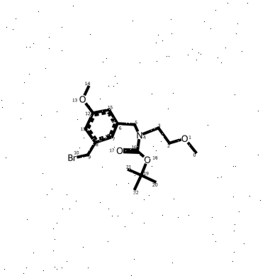 COCCN(Cc1cc(CBr)cc(OC)c1)C(=O)OC(C)(C)C